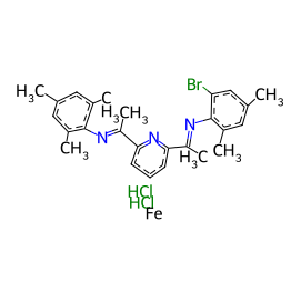 CC(=Nc1c(C)cc(C)cc1C)c1cccc(C(C)=Nc2c(C)cc(C)cc2Br)n1.Cl.Cl.[Fe]